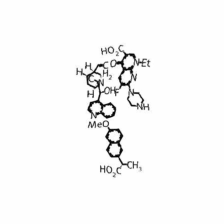 C=C[C@H]1C[N@]2CC[C@H]1C[C@@H]2[C@@H](O)c1ccnc2ccccc12.CCn1cc(C(=O)O)c(=O)c2cc(F)c(N3CCNCC3)nc21.COc1ccc2cc([C@H](C)C(=O)O)ccc2c1